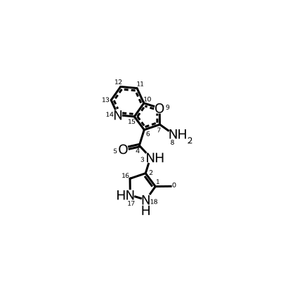 CC1=C(NC(=O)c2c(N)oc3cccnc23)CNN1